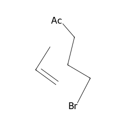 C=CC.CC(=O)CCCBr